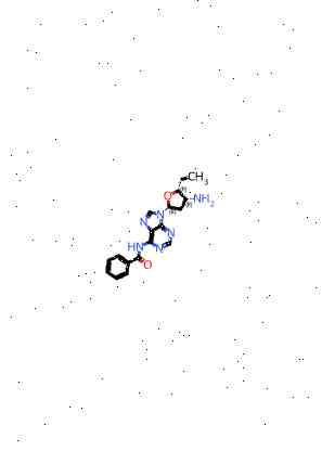 CC[C@H]1O[C@@H](n2cnc3c(NC(=O)c4ccccc4)ncnc32)C[C@H]1N